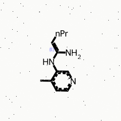 CCC/C=C(\N)Nc1cnccc1C